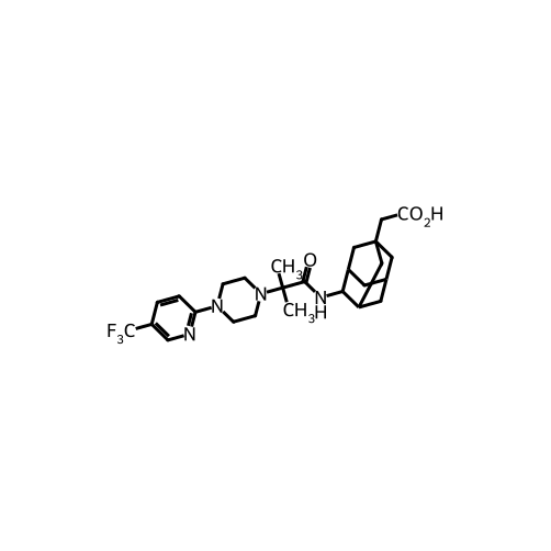 CC(C)(C(=O)NC1C2CC3CC1CC(CC(=O)O)(C3)C2)N1CCN(c2ccc(C(F)(F)F)cn2)CC1